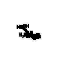 NCC(CCCCB(O)O)C(=O)Nc1ccc2cnccc2c1